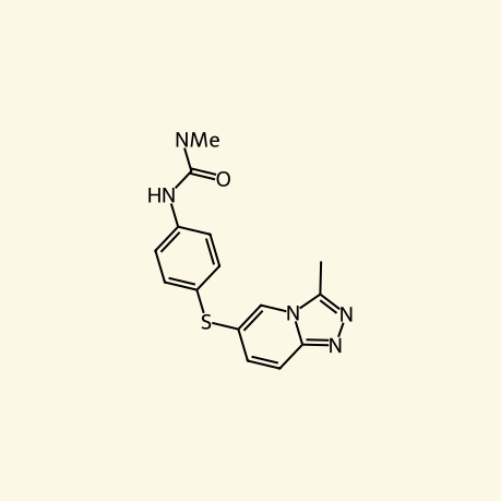 CNC(=O)Nc1ccc(Sc2ccc3nnc(C)n3c2)cc1